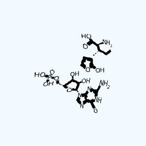 CC[C@H](C)[C@H](N)C(=O)O.Nc1nc2c(ncn2[C@@H]2O[C@H](COP(=O)(O)O)[C@@H](O)[C@H]2O)c(=O)[nH]1.Oc1ccco1